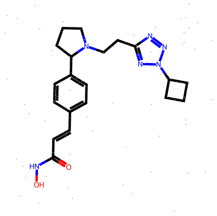 O=C(/C=C/c1ccc(C2CCCN2CCc2nnn(C3CCC3)n2)cc1)NO